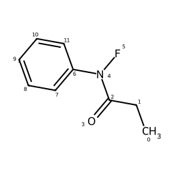 CCC(=O)N(F)c1cc[c]cc1